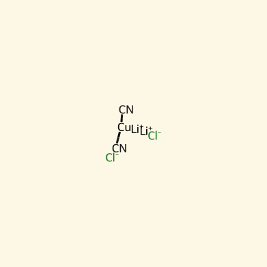 N#[C][Cu][C]#N.[Cl-].[Cl-].[Li+].[Li+]